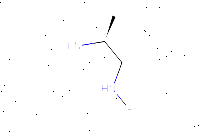 CCNC[C@H](C)N